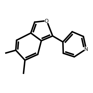 Cc1cc2coc(-c3ccncc3)c2cc1C